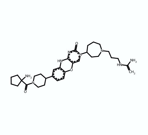 C=C(N)NCCCN1CCCC(n2cc3c(nc2=O)Nc2cc(C4CCN(C(=O)C5(N)CCCC5)CC4)ccc2O3)CC1